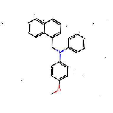 COc1ccc(N(Cc2cccc3ccccc23)c2ccccc2)cc1